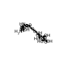 N=C(c1ccc(C(=O)NCCOCCOCCNC(=O)CN(CCN(CCN(CC(=O)O)CC(=O)O)CC(=O)O)CC(=O)O)cc1)c1cnc2nc(N)nc(O)c2n1